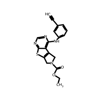 C#Cc1cccc(Nc2ncnc3sc4c(c23)CN(C(=O)OCC)C4)c1